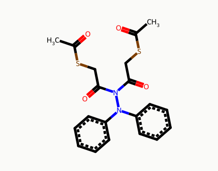 CC(=O)SCC(=O)N(C(=O)CSC(C)=O)N(c1ccccc1)c1ccccc1